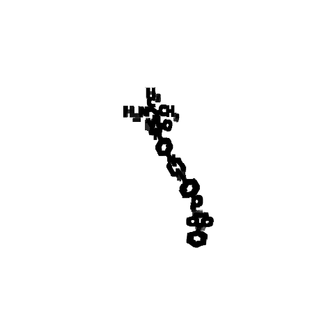 CC(N)C(C)n1ncn(-c2ccc(N3CCN(c4ccc(OC[C@@H]5CO[C@@H](c6ccccc6)O5)cc4)CC3)cc2)c1=O